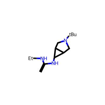 C=C(NCC)NC1C2CN(C(C)(C)C)CC21